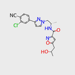 CC(O)Cc1cc(C(=O)N[C@@H](C)Cn2ccc(-c3ccc(C#N)c(Cl)c3)n2)no1